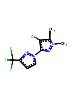 Cc1c(Cl)c(-n2ccc(C(F)(F)F)n2)nn1C